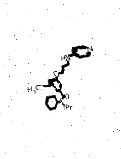 Cc1cc(OCCCNc2ccncc2)cc(C(=O)N(C(C)C)C2CCCCC2)c1